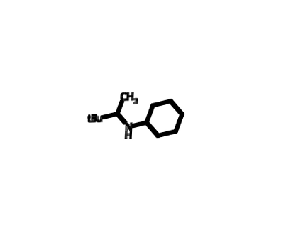 CC(NC1CCCCC1)C(C)(C)C